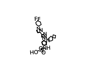 O=S(=O)(CCO)Nc1ccc(-n2cc(-c3ccn(C4CCC(F)(F)CC4)n3)nn2)c(N2CCC3(CCC3)CC2)c1